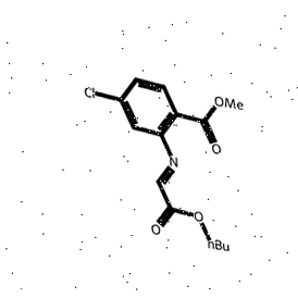 CCCCOC(=O)C=Nc1cc(Cl)ccc1C(=O)OC